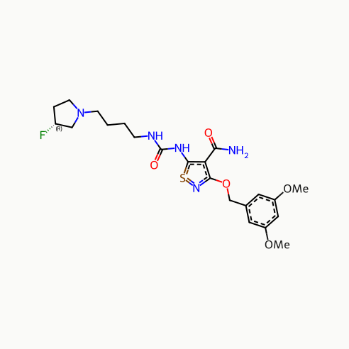 COc1cc(COc2nsc(NC(=O)NCCCCN3CC[C@@H](F)C3)c2C(N)=O)cc(OC)c1